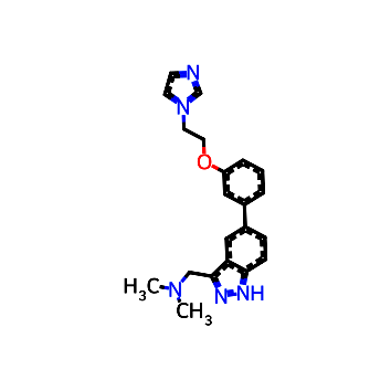 CN(C)Cc1n[nH]c2ccc(-c3cccc(OCCn4ccnc4)c3)cc12